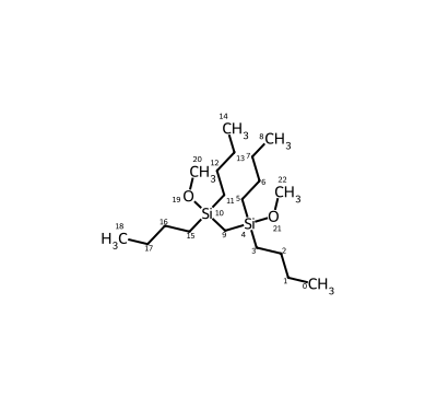 CCCC[Si](CCCC)(C[Si](CCCC)(CCCC)OC)OC